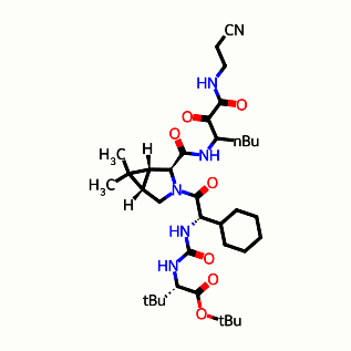 CCCCC(NC(=O)[C@@H]1[C@@H]2[C@H](CN1C(=O)[C@@H](NC(=O)N[C@H](C(=O)OC(C)(C)C)C(C)(C)C)C1CCCCC1)C2(C)C)C(=O)C(=O)NCCC#N